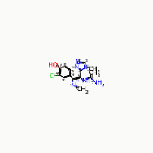 C=N/C(=C(\N=C(/C)N)c1nncn1C)c1ccc(O)c(Cl)c1